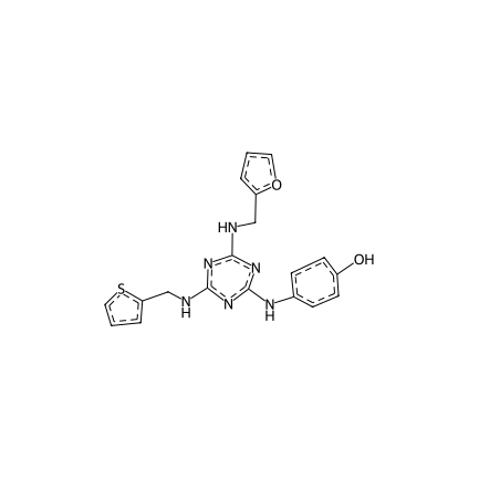 Oc1ccc(Nc2nc(NCc3ccco3)nc(NCc3cccs3)n2)cc1